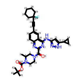 CC1CN(C(=O)c2nc(Nc3cc(C4CC4)[nH]n3)c3cc(C#CC4(F)CCCCC4)ccc3n2)CCN1C(=O)OC(C)(C)C